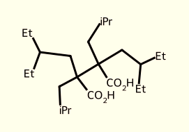 CCC(CC)CC(CC(C)C)(C(=O)O)C(CC(C)C)(CC(CC)CC)C(=O)O